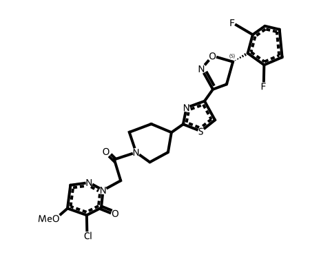 COc1cnn(CC(=O)N2CCC(c3nc(C4=NO[C@H](c5c(F)cccc5F)C4)cs3)CC2)c(=O)c1Cl